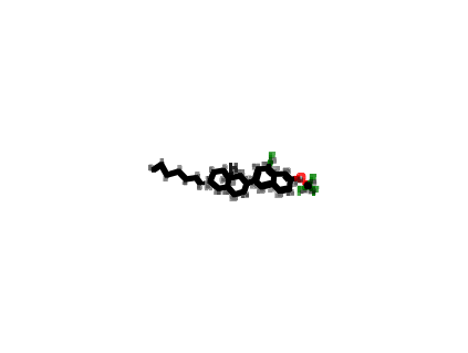 CCCCCCC[C@@H]1CC[C@@H]2CC(c3cc(F)c4cc(OC(F)(F)F)ccc4c3)CCC2C1